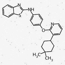 CC1(C)CCC(c2cccnc2Oc2ccc(Nc3nc4ccccc4s3)cc2)CC1